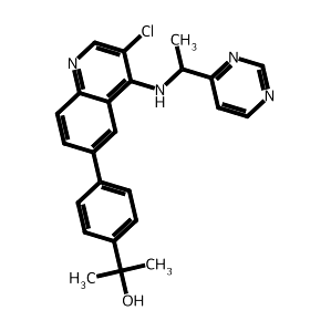 CC(Nc1c(Cl)cnc2ccc(-c3ccc(C(C)(C)O)cc3)cc12)c1ccncn1